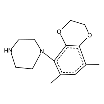 Cc1cc(C)c(N2CCNCC2)c2c1OCCO2